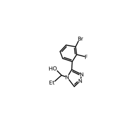 CCC(O)n1cnnc1-c1cccc(Br)c1F